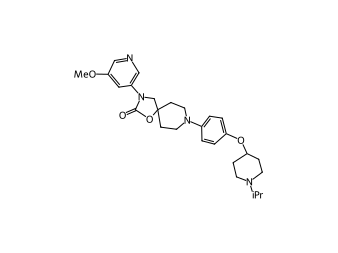 COc1cncc(N2CC3(CCN(c4ccc(OC5CCN(C(C)C)CC5)cc4)CC3)OC2=O)c1